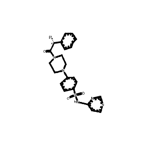 CC[C@@H](C(=O)N1CCN(c2ccc(S(=O)(=O)Nc3ccncn3)cc2)CC1)c1ccccc1